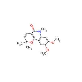 COc1cc2c3c(c(=O)n(C)c2cc1OC)C=CC(C)(C)O3